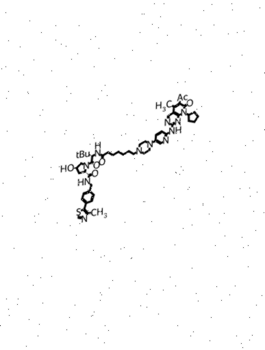 CC(=O)c1c(C)c2cnc(Nc3ccc(N4CCN(CCCCCCC(=O)N[C@H](C(=O)N5C[C@H](O)C[C@H]5C(=O)NCc5ccc(-c6scnc6C)cc5)C(C)(C)C)CC4)cn3)nc2n(C2CCCC2)c1=O